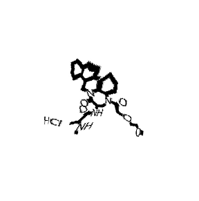 CNC(C)C(=O)NC1CN(C(=O)COCCOC)c2ccccc2N(Cc2c(C)ccc3ccccc23)C1=O.Cl